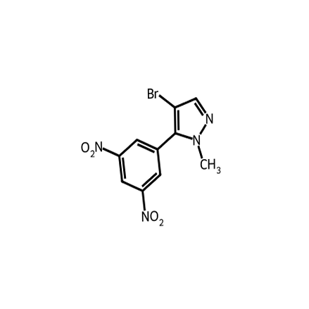 Cn1ncc(Br)c1-c1cc([N+](=O)[O-])cc([N+](=O)[O-])c1